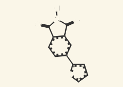 CN1C(=O)c2ccc(-c3cccs3)cc2C1=O